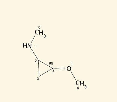 CNC1C[C@H]1OC